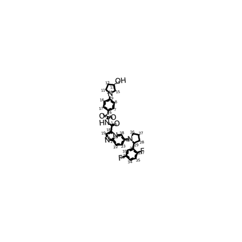 O=C(NS(=O)(=O)c1ccc(N2CC[C@H](O)C2)cc1)c1cnc2ccc(N3CCCC3c3cc(F)ccc3F)cn12